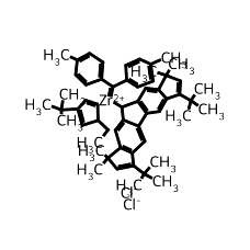 CCC1C=C(C(C)(C)C)C=[C]1[Zr+2](=[C](c1ccc(C)cc1)c1ccc(C)cc1)[CH]1c2cc3c(cc2-c2cc4c(cc21)C(C)(C)C=C4C(C)(C)C)C(C(C)(C)C)=CC3(C)C.[Cl-].[Cl-]